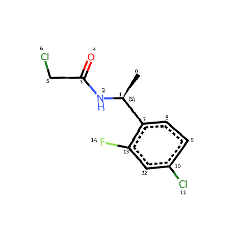 C[C@H](NC(=O)CCl)c1ccc(Cl)cc1F